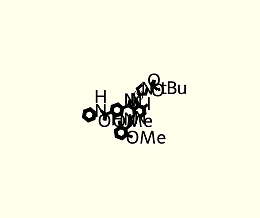 COc1cccc(OC)c1CNc1ncc(I)c2c1c(-c1ccc(C(=O)Nc3ccccc3)cc1)nn2[C@H]1CCN(C(=O)OC(C)(C)C)C1